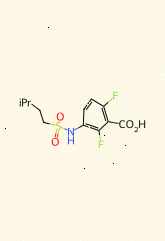 CC(C)CCS(=O)(=O)Nc1ccc(F)c(C(=O)O)c1F